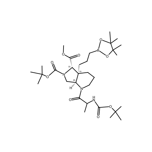 COC(=O)[C@H]1N(C(=O)OC(C)(C)C)C[C@@H]2N(C(=O)C(C)NC(=O)OC(C)(C)C)CCC[C@@]21CCCB1OC(C)(C)C(C)(C)O1